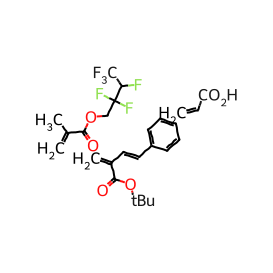 C=C(C)C(=O)OCC(F)(F)C(F)C(F)(F)F.C=C(C=Cc1ccccc1)C(=O)OC(C)(C)C.C=CC(=O)O